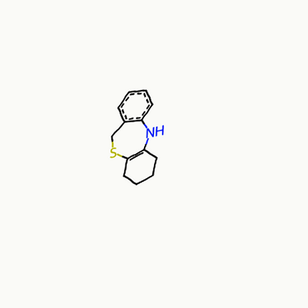 c1ccc2c(c1)CSC1=C(CCCC1)N2